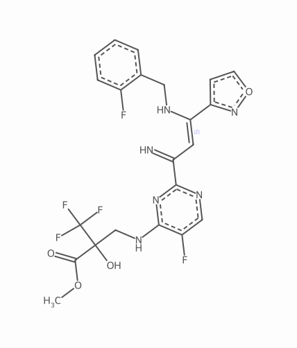 COC(=O)C(O)(CNc1nc(C(=N)/C=C(\NCc2ccccc2F)c2ccon2)ncc1F)C(F)(F)F